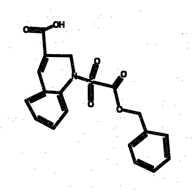 O=C(O)C1=Cc2ccccc2N(S(=O)(=O)C(=O)OCc2ccccc2)C1